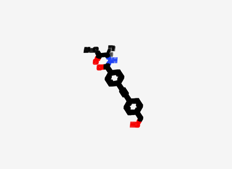 CC[C@H](NC(=O)c1ccc(C#Cc2ccc(CO)cc2)cc1)C(=O)OC